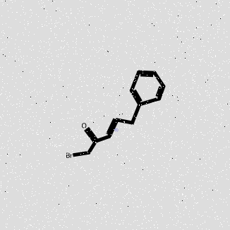 O=C(/C=C/Cc1ccccc1)CBr